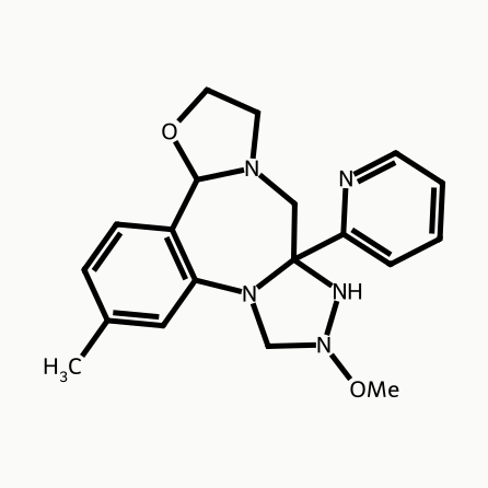 CON1CN2c3cc(C)ccc3C3OCCN3CC2(c2ccccn2)N1